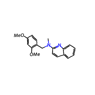 COc1ccc(CN(C)c2ccc3ccccc3n2)c(OC)c1